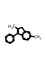 CC1=C(c2ccccc2)c2ccc(C)cc2[CH]1